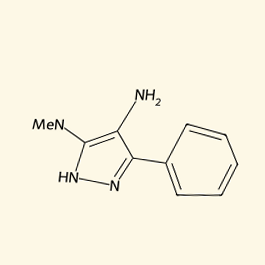 CNc1[nH]nc(-c2ccccc2)c1N